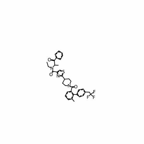 CCN(C(=O)c1csc(C2CCN(C(=O)c3cccc(C)c3-c3ccc(CC(F)(F)F)cc3)CC2)n1)C(C)C(=O)c1ccccc1